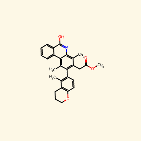 COC(=O)Cc1c(-c2ccc3c(c2C)CCCO3)c(C)c2c(nc(O)c3ccccc32)c1C